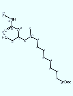 CCCCCCCCCCCCCCCCCCN(C)CC(CO)OC(=O)NCC